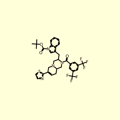 CC(C)(C)OC(=O)n1cc(CC2CN3CC(c4nccs4)=CCC3CN2C(=O)c2cc(C(F)(F)F)cc(C(F)(F)F)c2)c2ccccc21